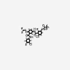 CC(C)(C)C(=O)NCc1ccc(Cl)c(C(=O)Nc2ccc(OCC(F)F)c(C(=O)Nc3ccc(F)c(Cl)c3)c2)c1F